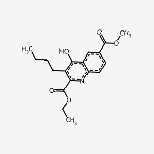 CCCCc1c(C(=O)OCC)nc2ccc(C(=O)OC)cc2c1O